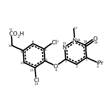 CC(C)c1cc(Oc2c(Cl)cc(CC(=O)O)cc2Cl)nn(C)c1=O